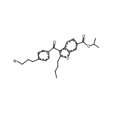 CCCCc1oc2cc(C(=O)OC(C)C)ccc2c1C(=O)c1ccc(CCCBr)cc1